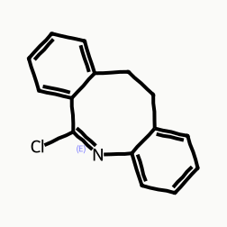 Cl/C1=N/c2ccccc2CCc2ccccc21